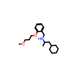 COCCCOc1ccccc1CNC(C)CC1CCCCC1